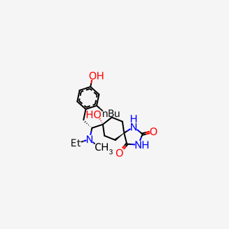 CCCCc1cc(O)ccc1C[C@@H](N(C)CC)[C@]1(O)CC[C@@]2(CC1)NC(=O)NC2=O